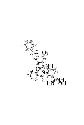 COc1cc([C@H](Nc2ccc(C(=N)NO)cc2)C(=O)N[C@@H](C)c2ccccc2)ccc1OCc1ccccc1